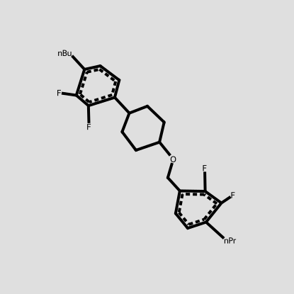 CCCCc1ccc(C2CCC(OCc3ccc(CCC)c(F)c3F)CC2)c(F)c1F